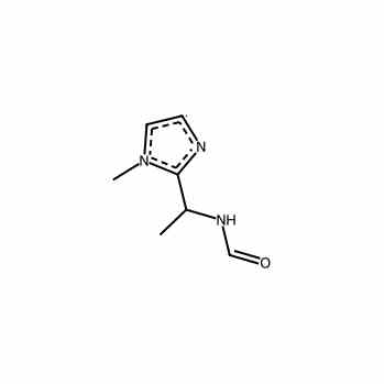 CC(NC=O)c1n[c]cn1C